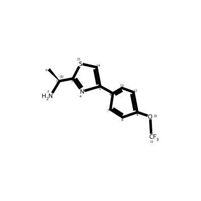 C[C@H](N)c1nc(-c2ccc(OC(F)(F)F)cc2)cs1